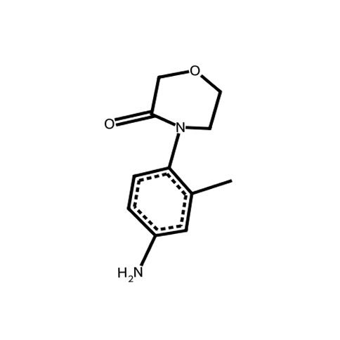 Cc1cc(N)ccc1N1CCOCC1=O